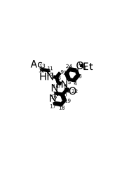 CCOc1ccc(-n2c(C(C)NCCC(C)=O)nc3ncccc3c2=O)cc1